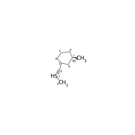 C=[SH]#CC1CCC[C@@H](C)C1